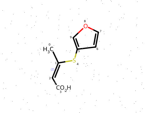 C/C(=C/C(=O)O)Sc1ccoc1